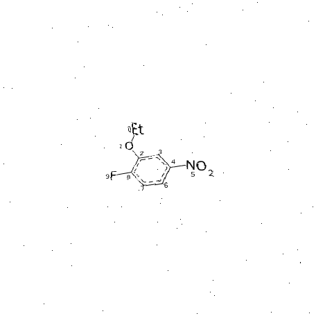 CCOc1cc([N+](=O)[O-])ccc1F